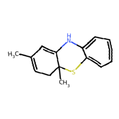 CC1=CCC2(C)Sc3ccccc3NC2=C1